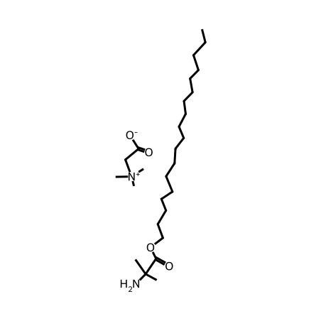 CCCCCCCCCCCCCCCCCCOC(=O)C(C)(C)N.C[N+](C)(C)CC(=O)[O-]